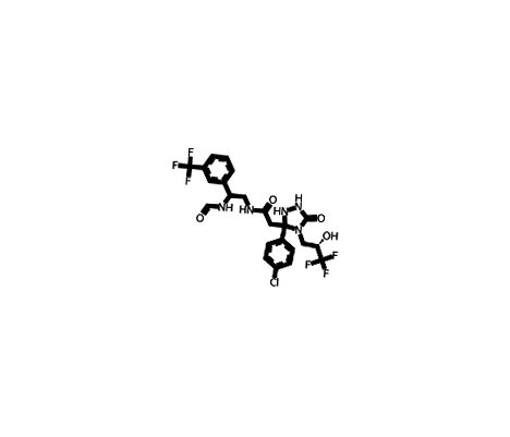 O=CNC(CNC(=O)CC1(c2ccc(Cl)cc2)NNC(=O)N1C[C@H](O)C(F)(F)F)c1cccc(C(F)(F)F)c1